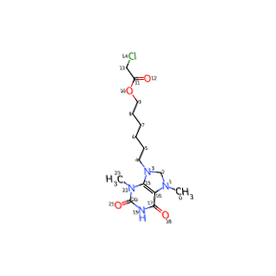 CN1CN(CCCCCCOC(=O)CCl)c2c1c(=O)[nH]c(=O)n2C